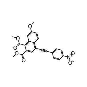 COC(=O)c1cc(C#Cc2ccc([N+](=O)[O-])cc2)c2ccc(OC)cc2c1C(=O)OC